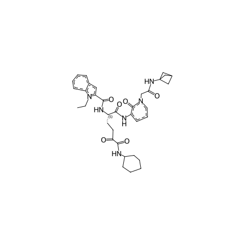 CCn1c(C(=O)N[C@@H](CCC(=O)C(=O)NC2CCCCC2)C(=O)Nc2cccn(CC(=O)NC34CC(C3)C4)c2=O)cc2ccccc21